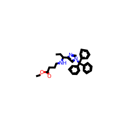 CCOC(=O)CCCNC(CC)c1cn(C(c2ccccc2)(c2ccccc2)c2ccccc2)cn1